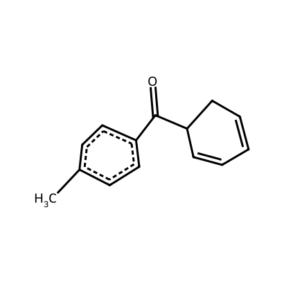 Cc1ccc(C(=O)C2C=CC=CC2)cc1